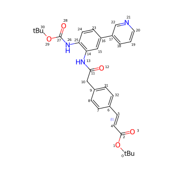 CC(C)(C)OC(=O)/C=C/c1ccc(CC(=O)Nc2cc(-c3cccnc3)ccc2NC(=O)OC(C)(C)C)cc1